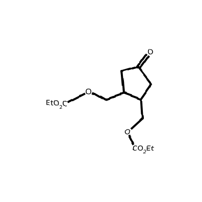 CCOC(=O)OCC1CC(=O)CC1COC(=O)OCC